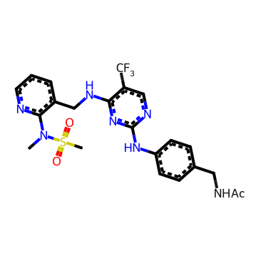 CC(=O)NCc1ccc(Nc2ncc(C(F)(F)F)c(NCc3cccnc3N(C)S(C)(=O)=O)n2)cc1